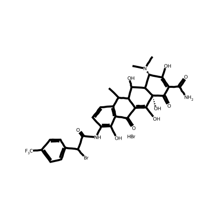 Br.CC1c2ccc(NC(=O)C(Br)c3ccc(C(F)(F)F)cc3)c(O)c2C(=O)C2=C(O)[C@]3(O)C(=O)C(C(N)=O)=C(O)[C@@H](N(C)C)C3C(O)C21